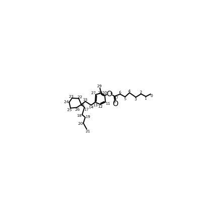 CCCCCCCC(=O)Oc1ccc(CCC2(CCCCC)CCCCC2)cc1C